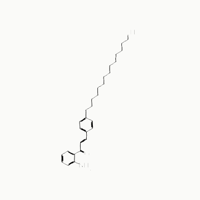 CCCCCCCCCCCCCCCc1ccc(C=CC(=O)c2ccccc2N)cc1